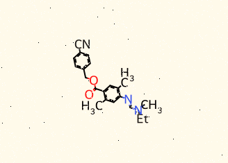 CCN(C)/C=N/c1cc(C)c(C(=O)OCc2ccc(C#N)cc2)cc1C